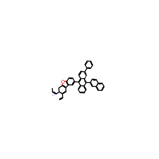 C=CC1=Cc2c(oc3ccc(-c4c5ccccc5c(-c5ccc6ccccc6c5)c5cc(-c6ccccc6)ccc45)cc23)CC1/C=C\C